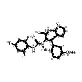 CCCCN(C(=O)Nc1c(F)cc(F)cc1F)c1c(-c2cccc(OC)c2)c2cccnc2[nH]c1=O